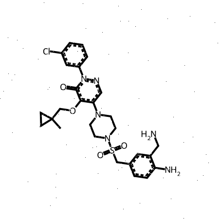 CC1(COc2c(N3CCN(S(=O)(=O)Cc4ccc(N)c(CN)c4)CC3)cnn(-c3cccc(Cl)c3)c2=O)CC1